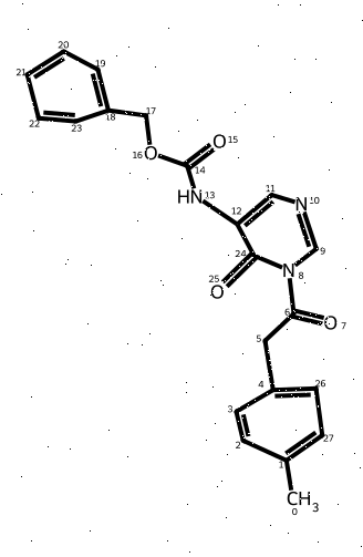 Cc1ccc(CC(=O)n2cncc(NC(=O)OCc3ccccc3)c2=O)cc1